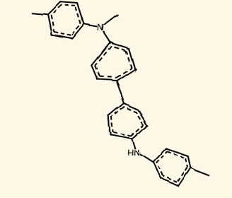 Cc1ccc(Nc2ccc(-c3ccc(N(C)c4ccc(C)cc4)cc3)cc2)cc1